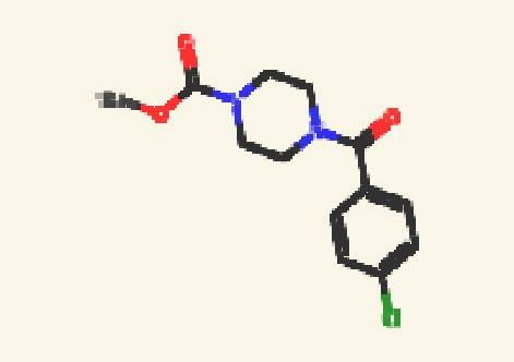 CC(C)(C)OC(=O)N1CCN(C(=O)c2ccc(Cl)cc2)CC1